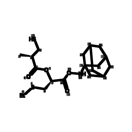 CCSC[C@H](OC(=O)[C@H](C)CS)C(=O)ONC12CC3CC(CC(C3)C1)C2